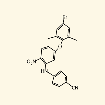 Cc1cc(Br)cc(C)c1Oc1ccc([N+](=O)[O-])c(Nc2ccc(C#N)cc2)c1